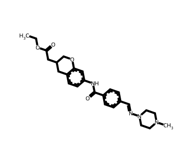 CCOC(=O)CC1COc2cc(NC(=O)c3ccc(C=NN4CCN(C)CC4)cc3)ccc2C1